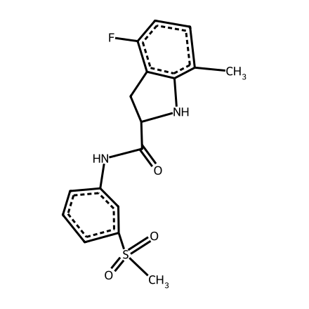 Cc1ccc(F)c2c1NC(C(=O)Nc1cccc(S(C)(=O)=O)c1)C2